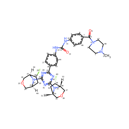 CN1CCN(C(=O)c2ccc(NC(=O)Nc3ccc(-c4nc(N5[C@@H]6COC[C@H]5[C@@H](F)C6)nc(N5[C@@H]6COC[C@H]5[C@@H](F)C6)n4)cc3)cc2)CC1